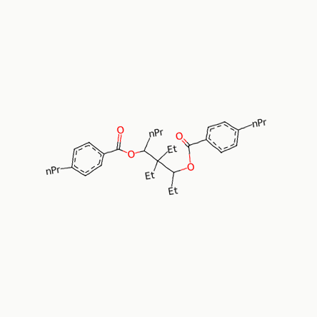 CCCc1ccc(C(=O)OC(CC)C(CC)(CC)C(CCC)OC(=O)c2ccc(CCC)cc2)cc1